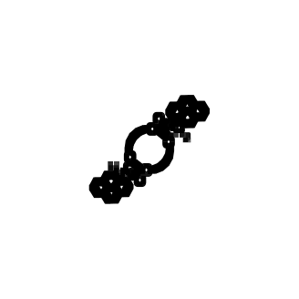 C=C1OCCCCCOC(C(=O)Nc2ccc3ccc4cccc5ccc2c3c45)C(=C)OCCCCCOC1C(=O)Nc1ccc2ccc3cccc4ccc1c2c34